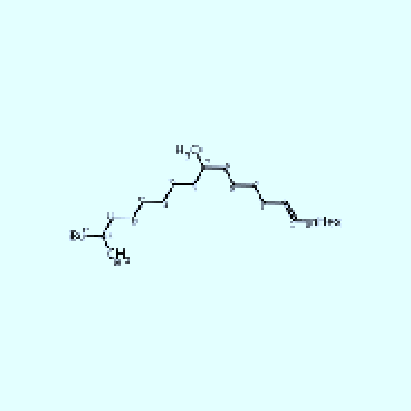 [CH2]CCCCCC=CCCCCC(C)CCCCCCC(C)C(C)C[CH2]